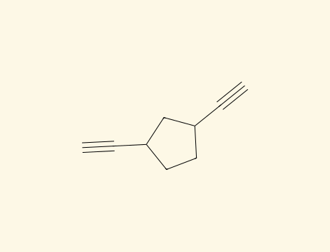 C#CC1CCC(C#C)C1